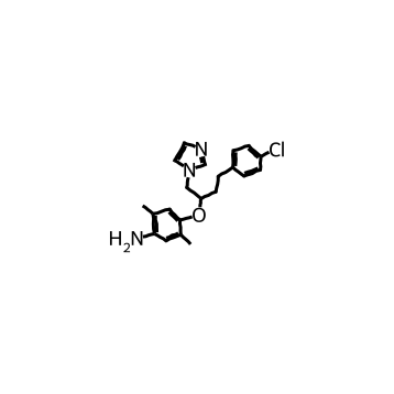 Cc1cc(OC(CCc2ccc(Cl)cc2)Cn2ccnc2)c(C)cc1N